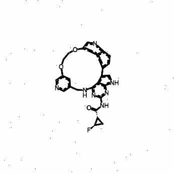 O=C(Nc1nc2c3c(c[nH]c3n1)-c1ccc3ncc(cc3c1)OCCOc1cncc(c1)CN2)[C@@H]1C[C@H]1F